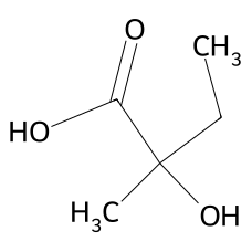 CCC(C)(O)C(=O)O